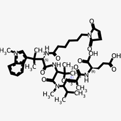 C/C(=C\C(C(C)C)N(C)C(=O)C(NC(=O)[C@@H](NC(=O)CCCCCN1C(=O)C=CC1=O)C(C)(C)c1cn(C)c2ccccc12)C(C)(C)C)C(=O)N[C@H](CCC(=O)O)C(=O)O